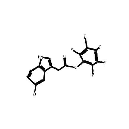 O=C(Cc1c[nH]c2ccc(Cl)cc12)Oc1c(F)c(F)c(F)c(F)c1F